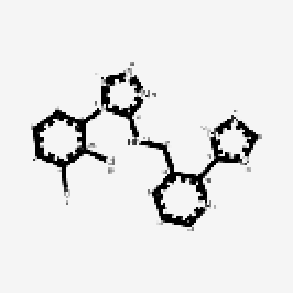 Clc1cccc(-n2nnnc2NCc2cccnc2-c2nnco2)c1Cl